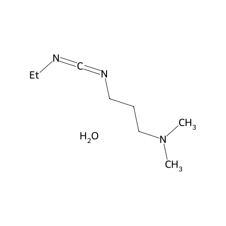 CCN=C=NCCCN(C)C.O